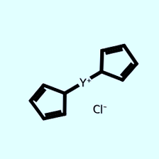 C1=C[CH]([Y+][CH]2C=CC=C2)C=C1.[Cl-]